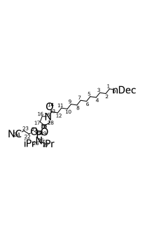 CCCCCCCCCCCCCCCCCCCCCCC(=O)N1CC[C@H](OP(OCCC#N)N(C(C)C)C(C)C)C1